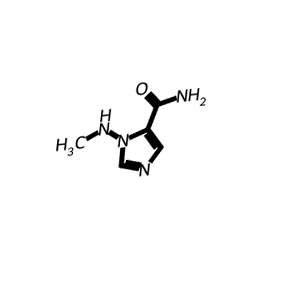 CNn1cncc1C(N)=O